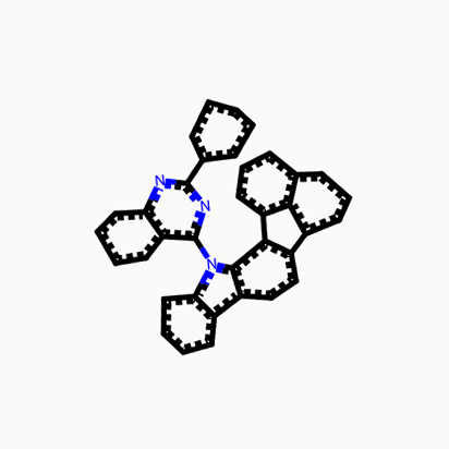 c1ccc(-c2nc(-n3c4ccccc4c4ccc5c(c43)-c3cccc4cccc-5c34)c3ccccc3n2)cc1